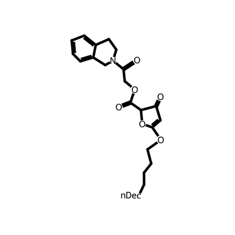 CCCCCCCCCCCCCCOC1=CC(=O)C(C(=O)OCC(=O)N2CCc3ccccc3C2)O1